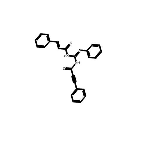 O=C(C#Cc1ccccc1)N/C(=N\c1ccccc1)NC(=O)/C=C/c1ccccc1